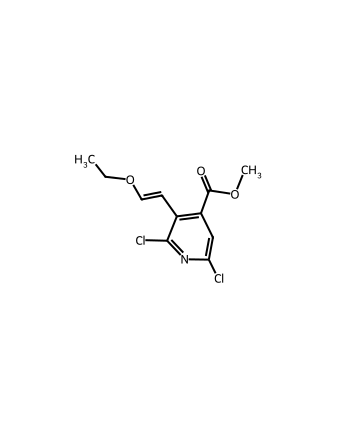 CCO/C=C/c1c(C(=O)OC)cc(Cl)nc1Cl